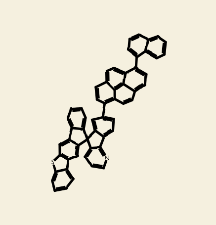 c1ccc2c(c1)-c1cc3sc4ccccc4c3cc1C21c2cc(-c3ccc4ccc5c(-c6cccc7ccccc67)ccc6ccc3c4c65)ccc2-c2ncccc21